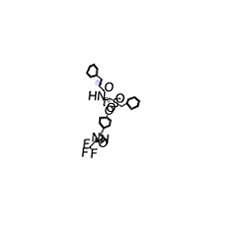 O=C(/C=C/c1ccccc1)N[C@H](COc1ccc(-c2noc(C(F)(F)F)n2)cc1)CS(=O)(=O)Cc1ccccc1